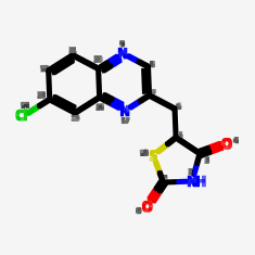 O=C1NC(=O)C(Cc2cnc3ccc(Cl)cc3n2)S1